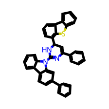 C1=C(c2ccccc2)N=C(n2c3ccccc3c3ccc(-c4ccccc4)cc32)NC1c1cccc2c1sc1ccccc12